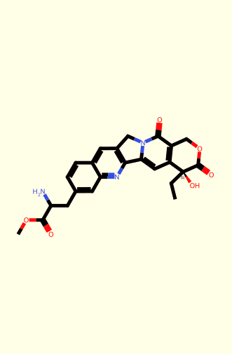 CC[C@@]1(O)C(=O)OCc2c1cc1n(c2=O)Cc2cc3ccc(CC(N)C(=O)OC)cc3nc2-1